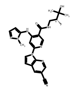 Cn1nccc1Nc1cc(-n2ccc3cc(C#N)cnc32)ncc1C(=O)NC[C@@H](F)C(C)(C)O